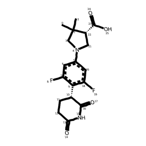 CC1(C)CN(c2cc(F)c([C@H]3CCC(=O)NC3=O)c(F)c2)C[C@H]1C(=O)O